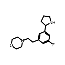 Fc1cc(CCN2CCOCC2)cc(C2CCCN2)c1